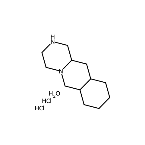 C1CCC2CN3CCNCC3CC2C1.Cl.Cl.O